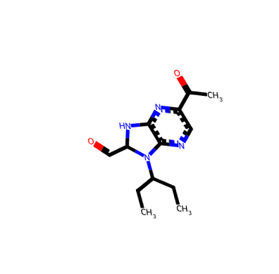 CCC(CC)N1c2ncc(C(C)=O)nc2NC1C=O